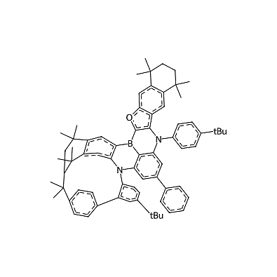 CC(C)(C)c1ccc(N2c3cc(-c4ccccc4)cc4c3B(c3cc5c6cc3N4c3ccc(C(C)(C)C)cc3-c3ccc(cc3)C(C)(C)C(CC5(C)C)C6(C)C)c3oc4cc5c(cc4c32)C(C)(C)CCC5(C)C)cc1